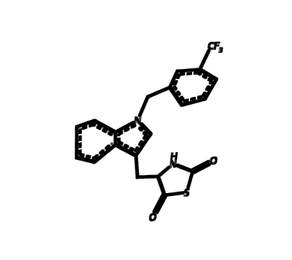 O=C1NC(Cc2cn(Cc3cccc(C(F)(F)F)c3)c3ccccc23)C(=O)S1